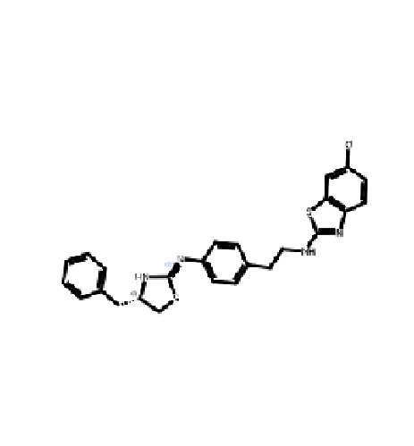 Clc1ccc2nc(NCCc3ccc(/N=C4/N[C@@H](Cc5ccccc5)CS4)cc3)sc2c1